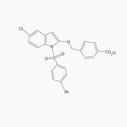 CC(C)c1ccc(S(=O)(=O)n2c(OCc3ccc(C(=O)O)cc3)cc3cc(Cl)ccc32)cc1